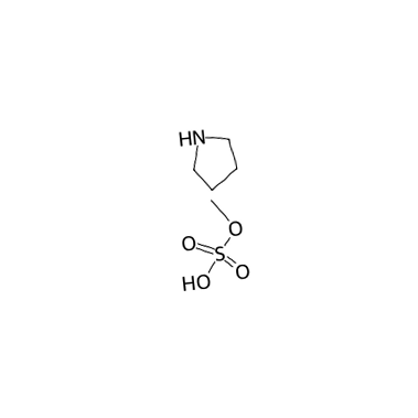 C1CCNC1.COS(=O)(=O)O